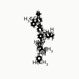 COc1nc2[nH]cc(F)c2cc1Oc1cc(N2CCC3(CC2)CC(N2CCN(C4COC4)CC2c2ccccc2C(C)C)C3)ccc1C(=O)NS(=O)(=O)c1cnc(NC[C@H]2CC[C@](C)(O)CC2)c([NH+](C)[O-])c1